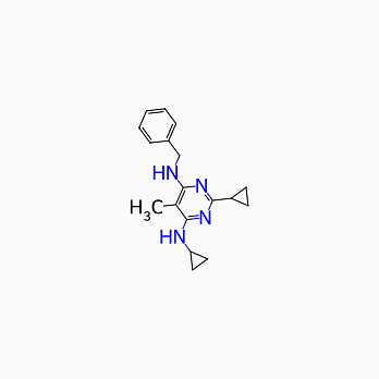 Cc1c(NCc2ccccc2)nc(C2CC2)nc1NC1CC1